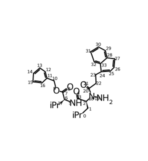 CC(C)C[C@@H](C(=O)N[C@H](C(=O)OCc1ccccc1)C(C)C)N(N)C(=O)CCc1cccc2ccccc12